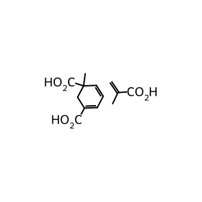 C=C(C)C(=O)O.CC1(C(=O)O)C=CC=C(C(=O)O)C1